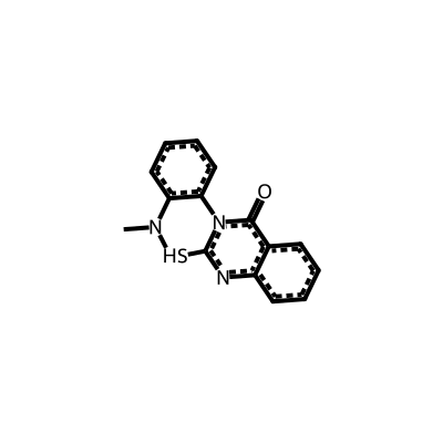 CN(C)c1ccccc1-n1c(S)nc2ccccc2c1=O